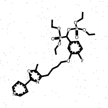 CCOP(=O)(OCC)OC(c1ccc(F)c(OCCCCc2nc(-c3ccncc3)oc2C)c1)P(=O)(OCC)OCC